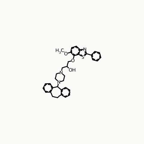 COc1ccc2nc(-c3ccccc3)sc2c1OCC(O)CN1CCN(C2c3ccccc3CCc3ccccc32)CC1